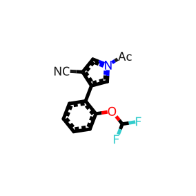 CC(=O)n1cc(C#N)c(-c2ccccc2OC(F)F)c1